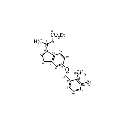 CCOC(=O)CN(C)C1CCc2cc(OCc3cccc(Br)c3C)ccc21